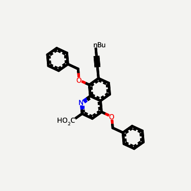 CCCCC#Cc1ccc2c(OCc3ccccc3)cc(C(=O)O)nc2c1OCc1ccccc1